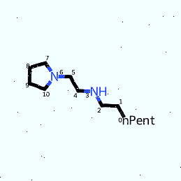 [CH2]CCCCCCNCCN1CCCC1